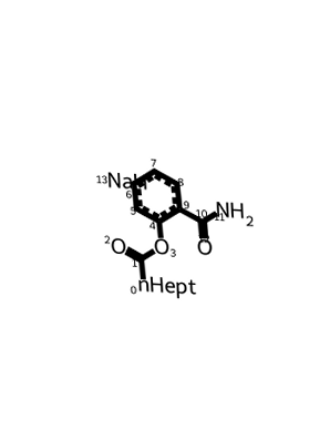 CCCCCCCC(=O)Oc1ccccc1C(N)=O.[NaH]